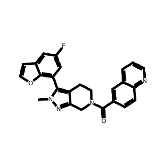 Cn1nc2c(c1-c1cc(F)cc3ccoc13)CCN(C(=O)c1ccc3ncccc3c1)C2